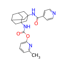 Cc1cccc(OC(=O)NC23CC4CC(C2)CC(NC(=O)c2ccncc2)(C4)C3)n1